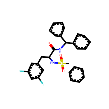 CS(=O)(=O)NC(Cc1cc(F)cc(F)c1)C(=O)NC(c1ccccc1)c1ccccc1.c1ccccc1